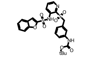 CC(C)(C)OC(=O)Nc1cccc(CS(=O)(=O)c2ncccc2NS(=O)(=O)c2cc3ccccc3o2)c1